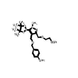 COCCOCc1nn(C)c(B2OC(C)(C)C(C)(C)O2)c1COCc1ccc(OC)cc1